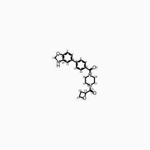 O=C(c1ccc(-c2ccc3c(c2)NCO3)cc1)N1CCN(C(=O)C2CCO2)CC1